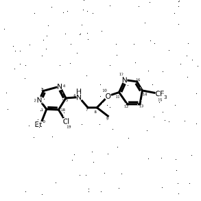 CCc1ncnc(NCC(C)Oc2ccc(C(F)(F)F)cn2)c1Cl